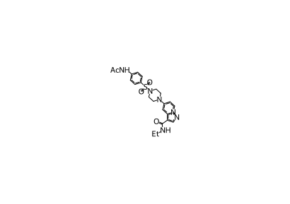 CCNC(=O)c1cnn2ccc(N3CCN(S(=O)(=O)c4ccc(NC(C)=O)cc4)CC3)cc12